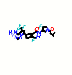 CC(C)CC(=O)N1C[C@H](F)[C@H](NC(=O)c2cc(-c3cc(C(F)(F)F)c4c(N)ncnn34)ccc2CF)C1